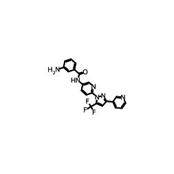 Nc1cccc(C(=O)Nc2ccc(-n3nc(-c4cccnc4)cc3C(F)(F)F)nc2)c1